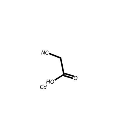 N#CCC(=O)O.[Cd]